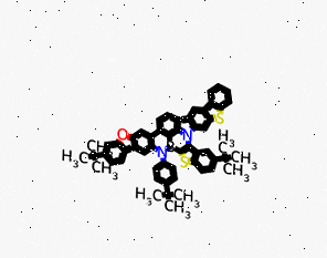 CC(C)(C)c1ccc(N2B3c4sc5ccc(C(C)(C)C)cc5c4-n4c5cc6sc7ccccc7c6cc5c5ccc(c3c54)-c3cc4oc5cc(C(C)(C)C)ccc5c4cc32)cc1